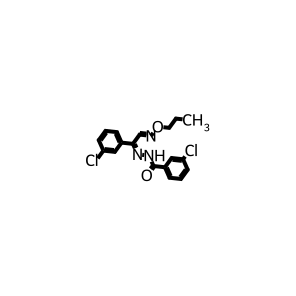 CCCON=CC(=NNC(=O)c1cccc(Cl)c1)c1cccc(Cl)c1